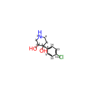 O[C@H]1CNCC[C@]1(O)c1ccc(Cl)cc1